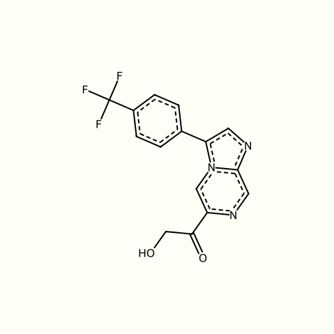 O=C(CO)c1cn2c(-c3ccc(C(F)(F)F)cc3)cnc2cn1